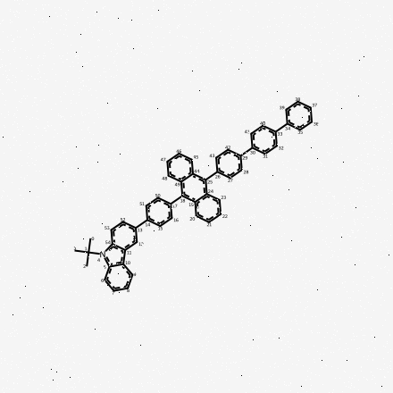 CC(C)(C)n1c2ccccc2c2cc(-c3ccc(-c4c5ccccc5c(-c5ccc(-c6ccc(-c7ccccc7)cc6)cc5)c5ccccc45)cc3)ccc21